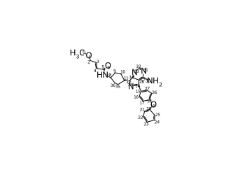 COC/C=C/C(=O)NC1CCC([C@@H]2N=C(c3ccc(Oc4ccccc4)cc3)c3c(N)ncnc32)CC1